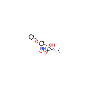 CC(C)CNC[C@@H](O)[C@@](Cc1ccc(OCc2ccccc2)cc1)(NC(=O)O)C(C)(C)C